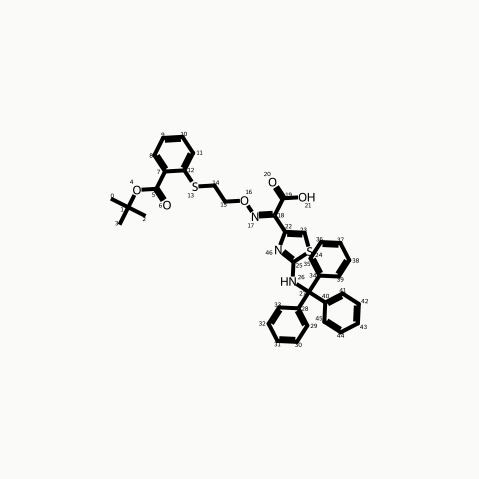 CC(C)(C)OC(=O)c1ccccc1SCCON=C(C(=O)O)c1csc(NC(c2ccccc2)(c2ccccc2)c2ccccc2)n1